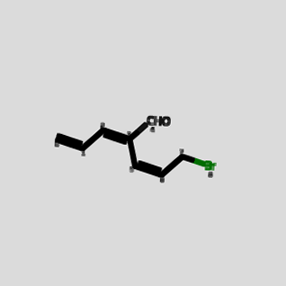 C=C/C=C(C=O)\C=C/CBr